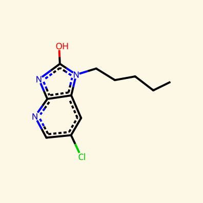 CCCCCn1c(O)nc2ncc(Cl)cc21